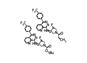 C=CC(=O)N1C[C@H](F)[C@H](Nc2nnc(-c3ccc(C(F)(F)F)cc3)c3cccnc23)C1.CC(C)(C)OC(=O)N1C[C@H](F)[C@H](Nc2nnc(-c3ccc(C(F)(F)F)cc3)c3cccnc23)C1